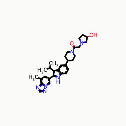 Cc1cc(-c2[nH]c3ccc(C4CCN(C(=O)CN5CC[C@@H](O)C5)CC4)cc3c2C(C)C)cn2ncnc12